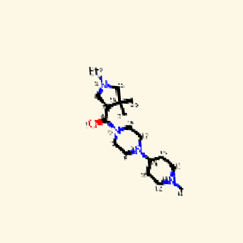 CCN1CC(C(=O)N2CCN(C3CCN(C)CC3)CC2)C(C)(C)C1